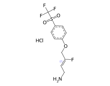 Cl.NC/C=C(\F)COc1ccc(S(=O)(=O)C(F)(F)F)cc1